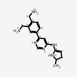 CC1CC=C(Nc2cc(-c3ccc(CN)c(CN)c3)ncn2)N1